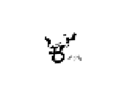 C=CC(=O)OC(=O)C1CCCCC1(C)C(=O)OCC.[MgH2]